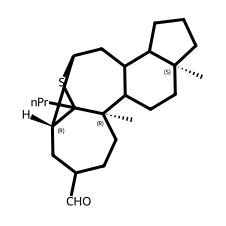 CCCC12SC3CC4C5CCC[C@@]5(C)CCC4[C@@]1(C)CCC(C=O)C[C@H]32